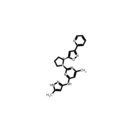 Cc1cc(Nc2cc(C)[nH]n2)nc(N2CCC[C@H]2c2cc(-c3ccccn3)no2)n1